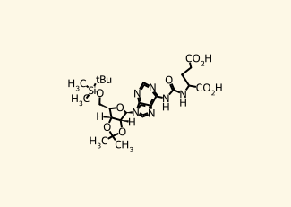 CC1(C)O[C@@H]2[C@H](O1)[C@@H](CO[Si](C)(C)C(C)(C)C)O[C@H]2n1cnc2c(NC(=O)NC(CCC(=O)O)C(=O)O)ncnc21